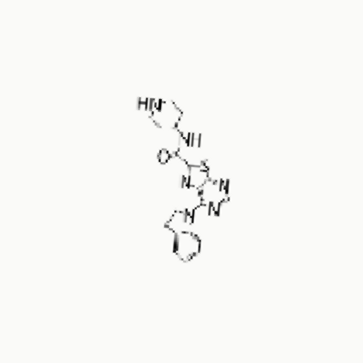 O=C(NC1CCNCC1)c1nc2c(N3CCc4ccccc43)ncnc2s1